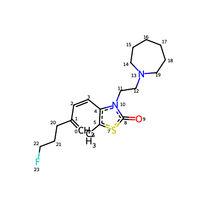 C=C(/C=C\c1c(C)sc(=O)n1CCN1CCCCCC1)CCCF